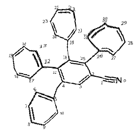 N#Cc1cc(-c2ccccc2)c(-c2ccccc2)c(-c2ccccc2)c1-c1ccccc1